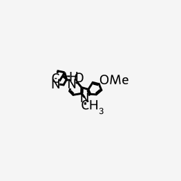 COc1ccc2c(c1)c1c(=O)n([C@@H]3CN4CCC3CC4)ccc1n2C